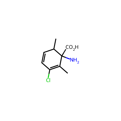 CC1=C(Cl)C=CC(C)C1(N)C(=O)O